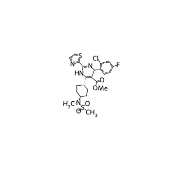 COC(=O)C1=C([C@H]2CC[C@H](N(C)S(C)(=O)=O)CC2)NC(c2nccs2)=NC1c1ccc(F)cc1Cl